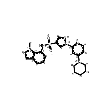 Cn1ncc2cccc(NS(=O)(=O)c3cnn(-c4cc(N5CCCCC5)ccn4)c3)c21